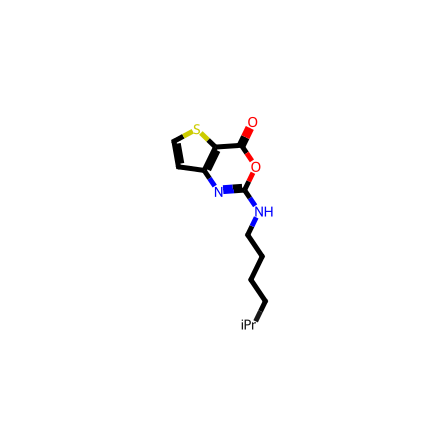 CC(C)CCCCNc1nc2ccsc2c(=O)o1